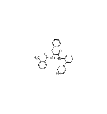 Cc1ccccc1C(=O)NC(Cc1ccccc1)C(=O)NC1=CCCC=C1N1C=CNCC1